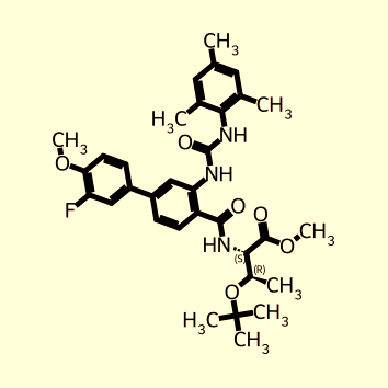 COC(=O)[C@@H](NC(=O)c1ccc(-c2ccc(OC)c(F)c2)cc1NC(=O)Nc1c(C)cc(C)cc1C)[C@@H](C)OC(C)(C)C